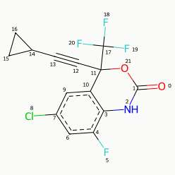 O=C1Nc2c(F)cc(Cl)cc2C(C#CC2CC2)(C(F)(F)F)O1